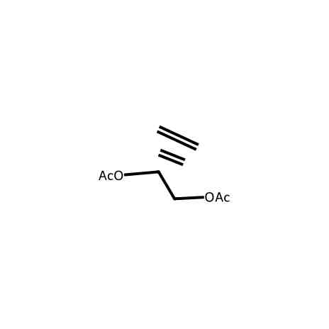 C=C.C=C.CC(=O)OCCOC(C)=O